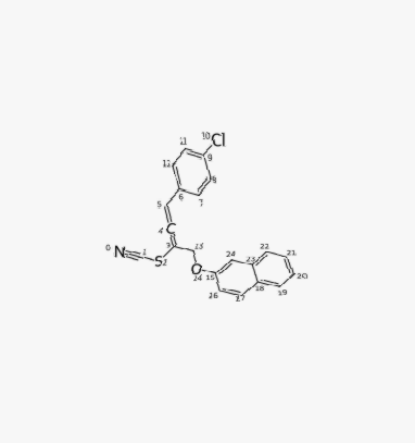 N#CSC(=C=Cc1ccc(Cl)cc1)COc1ccc2ccccc2c1